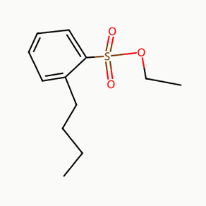 CCCCc1ccccc1S(=O)(=O)OCC